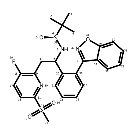 CC(C)(C)[S@+]([O-])NC(Cc1nc(S(C)(=O)=O)ccc1F)c1ccccc1-c1noc2ccccc12